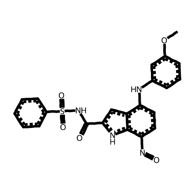 COc1cccc(Nc2ccc(N=O)c3[nH]c(C(=O)NS(=O)(=O)c4ccccc4)cc23)c1